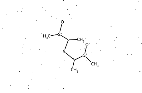 CC(SC(C)[S+](C)[O-])[S+](C)[O-]